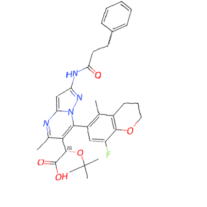 Cc1nc2cc(NC(=O)CCc3ccccc3)nn2c(-c2cc(F)c3c(c2C)CCCO3)c1[C@H](OC(C)(C)C)C(=O)O